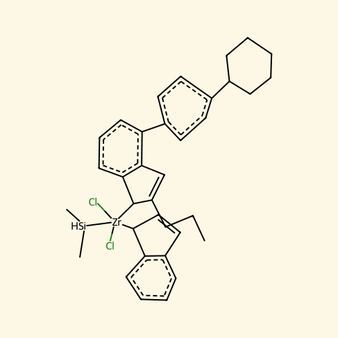 CCCC1=Cc2c(-c3ccc(C4CCCCC4)cc3)cccc2[CH]1[Zr]([Cl])([Cl])([CH]1C=Cc2ccccc21)[SiH](C)C